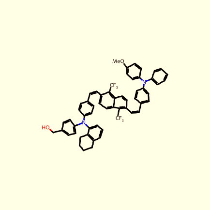 COc1ccc(N(c2ccccc2)c2ccc(/C=C\c3ccc4c(C(F)(F)F)c(/C=C\c5ccc(N(c6ccc(CO)cc6)c6cccc7c6CCCC7)cc5)ccc4c3C(F)(F)F)cc2)cc1